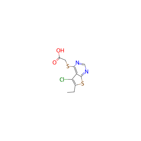 CCc1sc2ncnc(SCC(=O)O)c2c1Cl